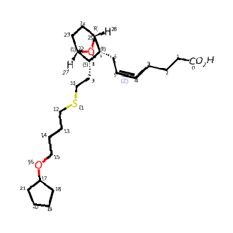 O=C(O)CCC/C=C\C[C@@H]1[C@H](CCSCCCCOC2CCCC2)[C@@H]2CC[C@H]1O2